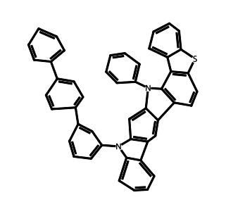 c1ccc(-c2ccc(-c3cccc(-n4c5ccccc5c5cc6c7ccc8sc9ccccc9c8c7n(-c7ccccc7)c6cc54)c3)cc2)cc1